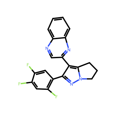 Fc1cc(F)c(-c2nn3c(c2-c2cnc4ccccc4n2)CCC3)cc1F